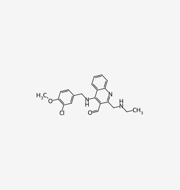 CCNCc1nc2ccccc2c(NCc2ccc(OC)c(Cl)c2)c1C=O